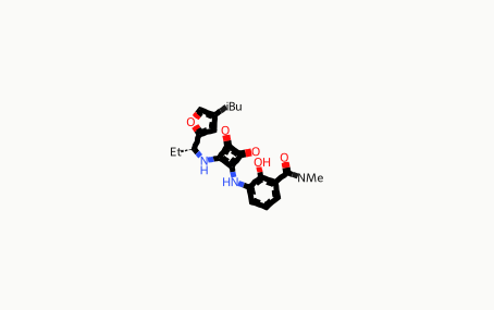 CCC(C)c1coc([C@@H](CC)Nc2c(Nc3cccc(C(=O)NC)c3O)c(=O)c2=O)c1